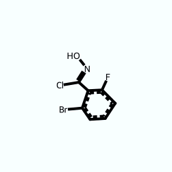 ON=C(Cl)c1c(F)cccc1Br